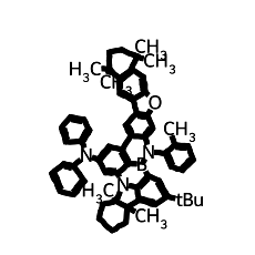 Cc1ccccc1N1B2c3cc(C(C)(C)C)cc4c3N(c3cc(N(c5ccccc5)c5ccccc5)cc(c32)-c2cc3c(cc21)oc1cc2c(cc13)C(C)(C)CCC2(C)C)C1(C)CCCCC41C